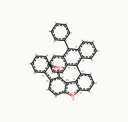 c1ccc(-c2c3ccccc3c(-c3cccc4oc5ccc6c7ccccc7oc6c5c34)c3ccccc23)cc1